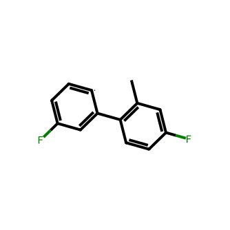 Cc1cc(F)ccc1-c1[c]ccc(F)c1